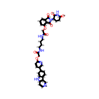 O=C(COc1ccc(-c2ccc3c(c2)[nH]c2ccncc23)cn1)NCCCCNC(=O)COc1cccc2c1C(=O)N(C1CCC(=O)NC1=O)C2=O